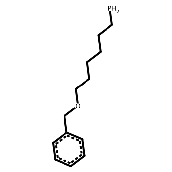 PCCCCCCOCc1ccccc1